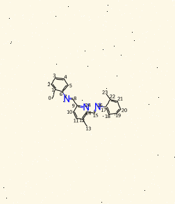 Cc1ccccc1N=Cc1ccc(C)c(C=Nc2ccccc2C)n1